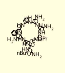 CCCCC(=O)N[C@H](CCN)C(=O)N[C@H]1CCNC(=O)[C@H](CC(C)C)NC(=O)[C@H](CCN)NC(=O)[C@H](CCN)NC(=O)[C@H](CC(C)C)NC(=O)C(Cc2ccccc2)NC(=O)[C@H](CCN)NC1=O